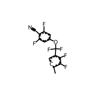 Cc1ccc(C(F)(F)Oc2cc(F)c(C#N)c(F)c2)c(F)c1F